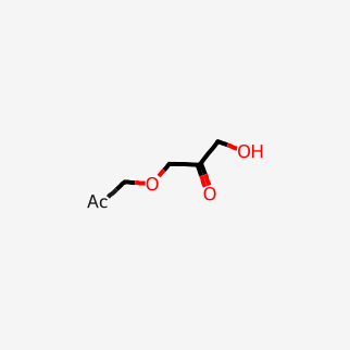 CC(=O)COCC(=O)CO